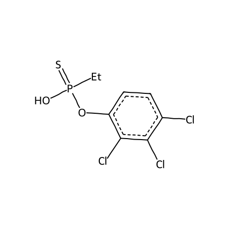 CCP(O)(=S)Oc1ccc(Cl)c(Cl)c1Cl